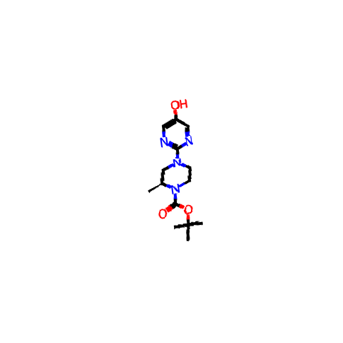 C[C@H]1CN(c2ncc(O)cn2)CCN1C(=O)OC(C)(C)C